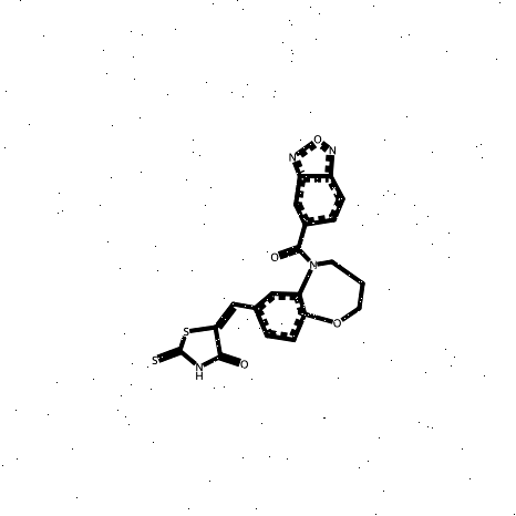 O=C1NC(=S)SC1=Cc1ccc2c(c1)N(C(=O)c1ccc3nonc3c1)CCCO2